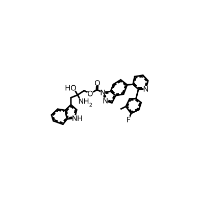 Cc1cc(-c2ncccc2-c2ccc3c(cnn3C(=O)OCC(N)(O)Cc3c[nH]c4ccccc34)c2)ccc1F